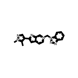 Cc1c(-c2cc3ccn(Cn4nnc5ccccc54)cc-3n2)cnn1C